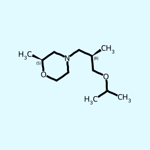 CC(C)OC[C@H](C)CN1CCO[C@@H](C)C1